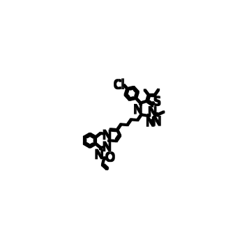 C=CC(=O)/N=C1\N=C2C=CC(CCCCC3N=C(c4ccc(Cl)cc4)c4c(sc(C)c4C)-n4c(C)nnc43)=CN2Cc2ccccc21